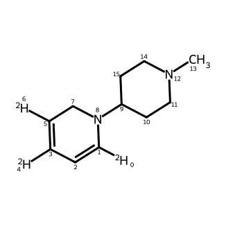 [2H]C1=CC([2H])=C([2H])CN1C1CCN(C)CC1